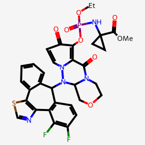 CCOP(=O)(NC1(C(=O)OC)CC1)Oc1c2n(ccc1=O)N(C1c3ccccc3-c3scnc3-c3c1ccc(F)c3F)C1COCCN1C2=O